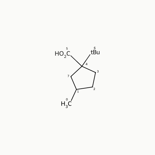 CC1CCC(C(=O)O)(C(C)(C)C)C1